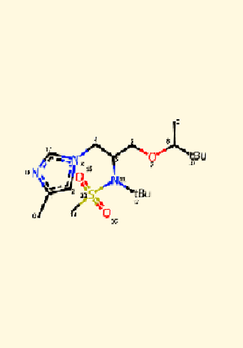 Cc1cn(CC(COC(C)C(C)(C)C)N(C(C)(C)C)S(C)(=O)=O)cn1